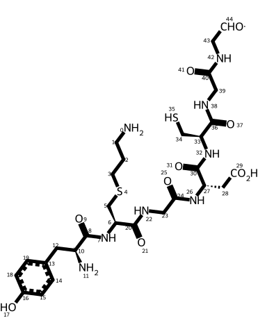 NCCCSC[C@H](NC(=O)[C@@H](N)Cc1ccc(O)cc1)C(=O)NCC(=O)N[C@@H](CC(=O)O)C(=O)N[C@@H](CS)C(=O)NCC(=O)NC[C]=O